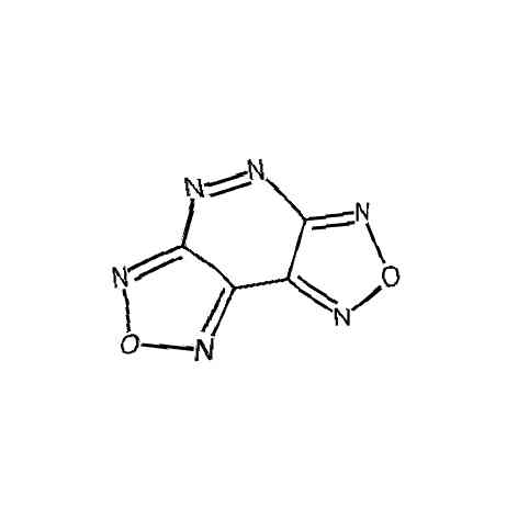 n1nc2nonc2c2nonc12